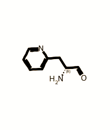 N[C@@H](C=O)Cc1ccccn1